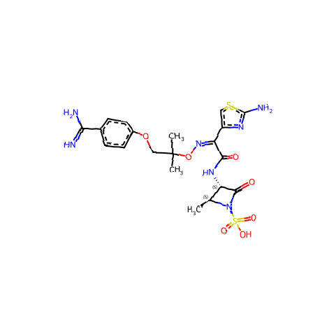 C[C@H]1[C@H](NC(=O)C(=NOC(C)(C)COc2ccc(C(=N)N)cc2)c2csc(N)n2)C(=O)N1S(=O)(=O)O